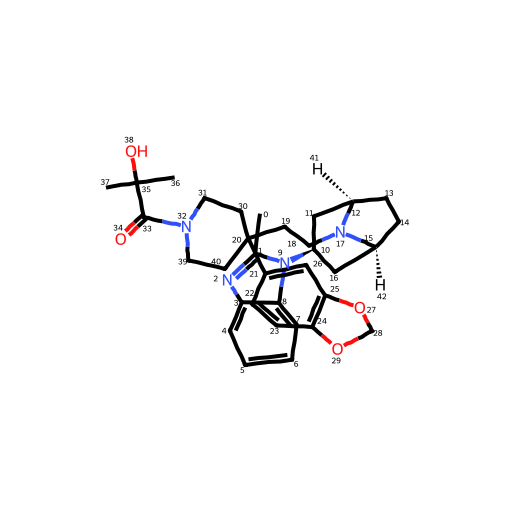 Cc1nc2ccccc2n1[C@H]1C[C@H]2CC[C@@H](C1)N2CCC1(c2ccc3c(c2)OCO3)CCN(C(=O)C(C)(C)O)CC1